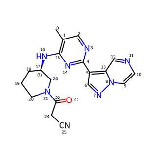 Cc1cnc(-c2cnn3ccncc23)nc1N[C@@H]1CCCN(C(=O)CC#N)C1